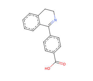 O=C(O)c1ccc(C2=NCCc3ccccc32)cc1